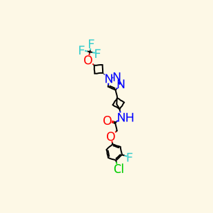 O=C(COc1ccc(Cl)c(F)c1)NC12CC(c3cn([C@H]4C[C@H](OC(F)(F)F)C4)nn3)(C1)C2